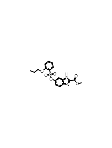 CCCOc1ccccc1S(=O)(=O)Oc1ccc2nc(C(=O)OC)[nH]c2c1